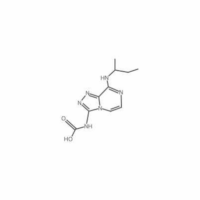 CCC(C)Nc1nccn2c(NC(=O)O)nnc12